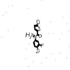 COc1ccc(N(N)C(=O)c2ccc(Cl)s2)cc1F